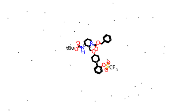 CC(C)(C)OC(=O)N[C@H]1CCCN(C(=O)OCc2ccccc2)[C@H]1COC1CCC(c2ccccc2OS(=O)(=O)C(F)(F)F)CC1